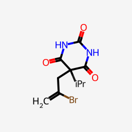 C=C(Br)CC1(C(C)C)C(=O)NC(=O)NC1=O